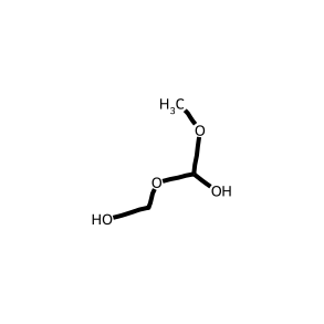 COC(O)OCO